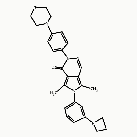 Cc1c2cnn(-c3ccc(N4CCNCC4)cc3)c(=O)c2c(C)n1-c1cccc(N2CCC2)c1